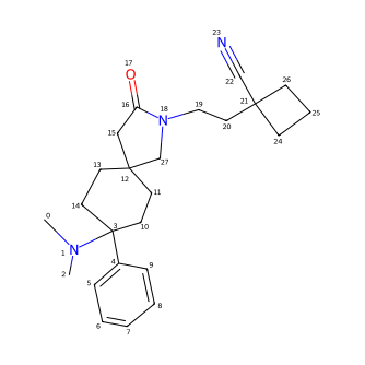 CN(C)C1(c2ccccc2)CCC2(CC1)CC(=O)N(CCC1(C#N)CCC1)C2